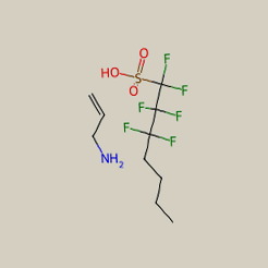 C=CCN.CCCCC(F)(F)C(F)(F)C(F)(F)S(=O)(=O)O